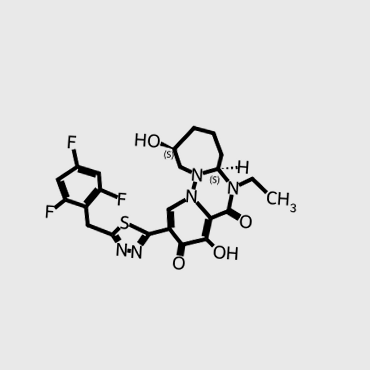 CCN1C(=O)c2c(O)c(=O)c(-c3nnc(Cc4c(F)cc(F)cc4F)s3)cn2N2C[C@@H](O)CCC[C@@H]12